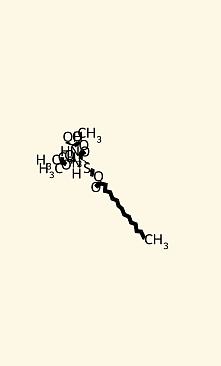 CCCCCCCCCCCCCCCC(=O)OCCSC[C@H](NC(=O)OC(C)(C)C)C(=O)N[C@@H](CO)C(=O)OC